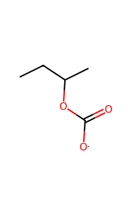 CCC(C)OC([O])=O